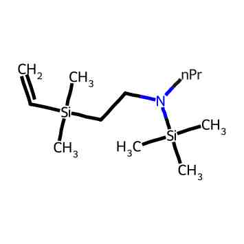 C=C[Si](C)(C)CCN(CCC)[Si](C)(C)C